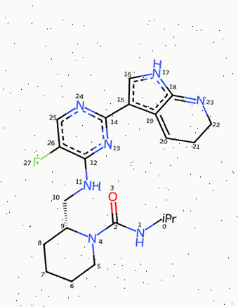 CC(C)NC(=O)N1CCCC[C@@H]1CNc1nc(-c2c[nH]c3c2=CCCN=3)ncc1F